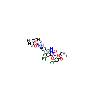 CCS(=O)(=O)c1ccc(Cl)cc1Cn1c(=O)[nH]c2c(Cl)c(CN3CCC[C@@H](CNC(=O)OC(C)(C)C)C3)c(C(F)(F)F)cc2c1=O